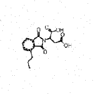 CCCc1cccc2c1C(=O)N(C(CC(=O)O)C(=O)O)C2=O